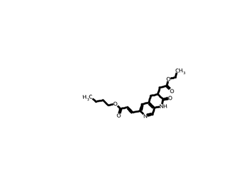 CCCCOC(=O)C=Cc1cc2c(cn1)NC(=O)C(CC(=O)OCC)C2